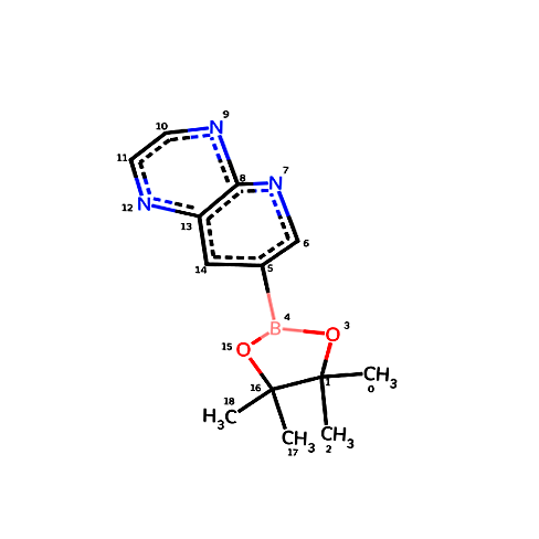 CC1(C)OB(c2cnc3nccnc3c2)OC1(C)C